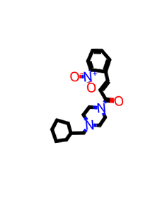 O=C(C=Cc1ccccc1[N+](=O)[O-])N1CCN(CC2CCCCC2)CC1